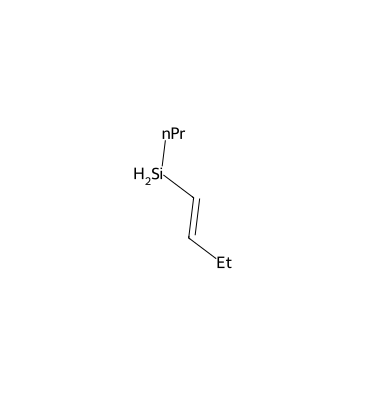 CCC=C[SiH2]CCC